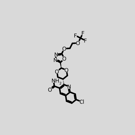 NC(=O)c1cc2ccc(Cl)cc2nc1[C@H]1CO[C@H](c2nnc(OCCOC(F)(F)F)o2)OC1